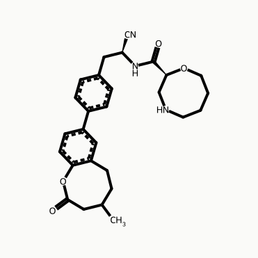 CC1CCc2cc(-c3ccc(C[C@@H](C#N)NC(=O)[C@@H]4CNCCCCO4)cc3)ccc2OC(=O)C1